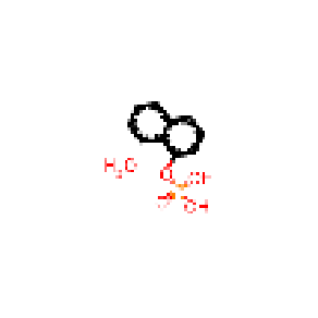 O.O=P(O)(O)Oc1cccc2ccccc12